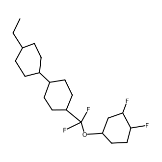 CCC1CCC(C2CCC(C(F)(F)OC3CCC(F)C(F)C3)CC2)CC1